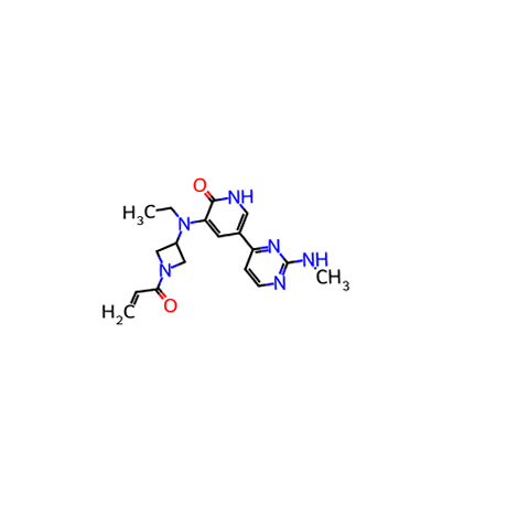 C=CC(=O)N1CC(N(CC)c2cc(-c3ccnc(NC)n3)c[nH]c2=O)C1